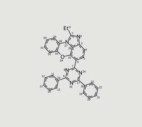 CCc1nc2ccc(-c3nc(-c4ccccc4)nc(-c4ccccc4)n3)c3c2n1-c1ccccc1O3